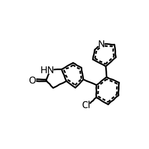 O=C1Cc2cc(-c3c(Cl)cccc3-c3ccncc3)ccc2N1